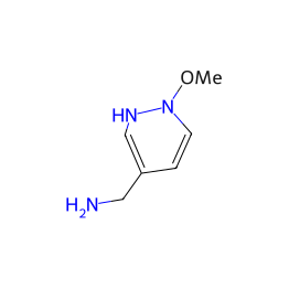 CON1C=CC(CN)=CN1